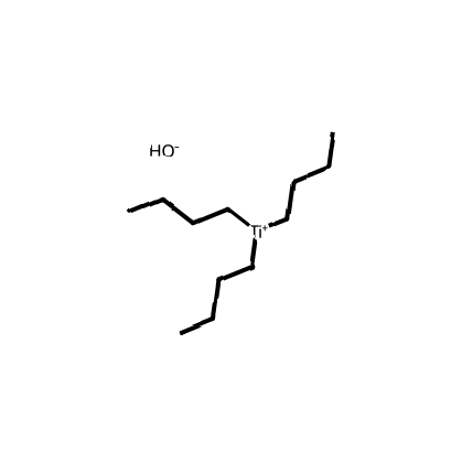 CCC[CH2][Ti+]([CH2]CCC)[CH2]CCC.[OH-]